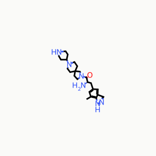 Cc1cc(C[C@@H](N)C(=O)N2CCC3(CCN(C4CCNCC4)CC3)C2)cc2cn[nH]c12